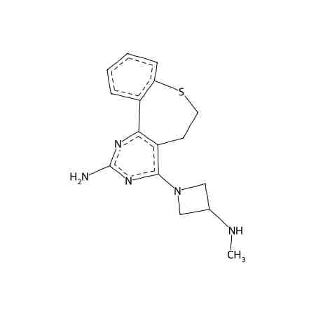 CNC1CN(c2nc(N)nc3c2CCSc2ccccc2-3)C1